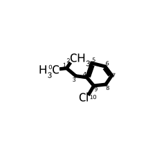 CC(C)CC1=CC=CCC1Cl